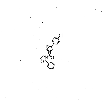 O=C(N1C=NC(c2ccc(Cl)cc2)C1)N1CCOC1c1ccccc1